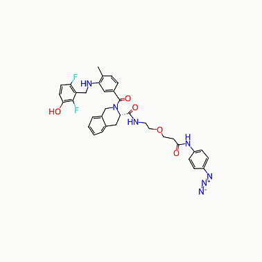 Cc1ccc(C(=O)N2Cc3ccccc3C[C@H]2C(=O)NCCOCCC(=O)Nc2ccc(N=[N+]=[N-])cc2)cc1NCc1c(F)ccc(O)c1F